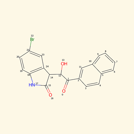 O=C(c1ccc2ccccc2c1)C(O)C1C(=O)Nc2ccc(Br)cc21